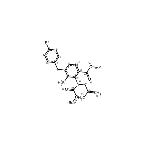 Bc1c(Cc2ccc(F)cc2)cnc(C(=O)OC(C)C)c1N(CC(=C)C)C(=O)OC(C)(C)C